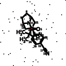 CC(C)(C)C(=O)N1C2CCC1CN(c1ccc(C#N)cn1)C2